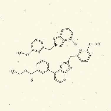 CCOC(=O)c1cccc(-c2cccc3nn(Cc4cccc(OC)n4)cc23)c1.COc1cccc(Cn2cc3c(Br)cccc3n2)n1